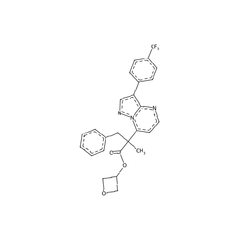 CC(Cc1ccccc1)(C(=O)OC1COC1)c1ccnc2c(-c3ccc(C(F)(F)F)cc3)cnn12